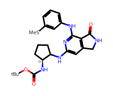 CSc1cccc(Nc2nc(NC3CCC[C@@H]3NC(=O)OC(C)(C)C)cc3c2C(=O)NC3)c1